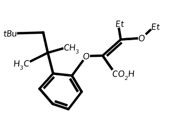 CCO/C(CC)=C(/Oc1ccccc1C(C)(C)CC(C)(C)C)C(=O)O